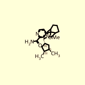 COC1(c2ccnc(C(N)=O)c2)C2CCCC1CN(C[C@@H]1C[C@@H](C)[C@@H](C)C1)C2